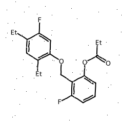 CCC(=O)Oc1cccc(F)c1COc1cc(F)c(CC)cc1CC